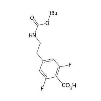 CC(C)(C)OC(=O)NCCc1cc(F)c(C(=O)O)c(F)c1